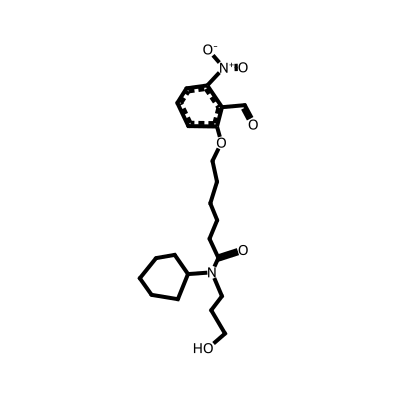 O=Cc1c(OCCCCCC(=O)N(CCCO)C2CCCCC2)cccc1[N+](=O)[O-]